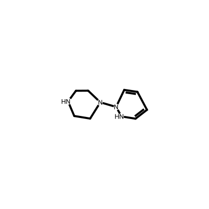 C1=CNN(N2CCNCC2)C=C1